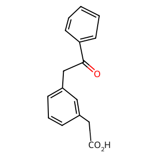 O=C(O)Cc1cccc(CC(=O)c2ccccc2)c1